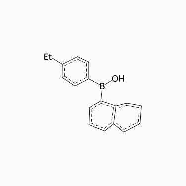 CCc1ccc(B(O)c2cccc3ccccc23)cc1